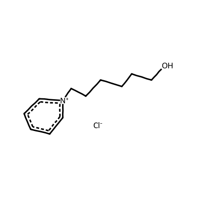 OCCCCCC[n+]1ccccc1.[Cl-]